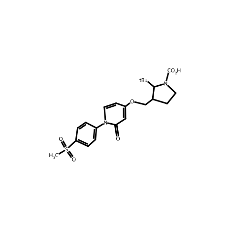 CC(C)(C)C1C(COc2ccn(-c3ccc(S(C)(=O)=O)cc3)c(=O)c2)CCN1C(=O)O